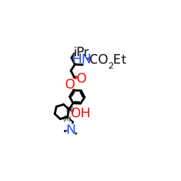 CCOC(=O)NCC(CC(=O)Oc1cccc([C@@]2(O)CCCC[C@@H]2CN(C)C)c1)CC(C)C